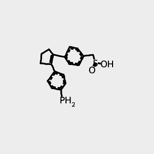 O=S(O)Cc1ccc(C2=C(c3ccc(P)cc3)CCC2)cc1